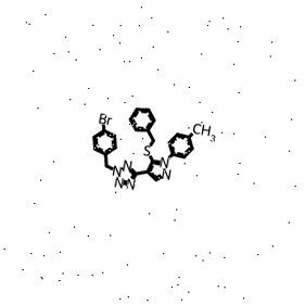 Cc1ccc(-n2ncc(-c3nnn(Cc4ccc(Br)cc4)n3)c2SCc2ccccc2)cc1